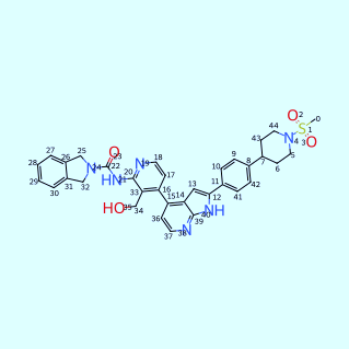 CS(=O)(=O)N1CCC(c2ccc(-c3cc4c(-c5ccnc(NC(=O)N6Cc7ccccc7C6)c5CO)ccnc4[nH]3)cc2)CC1